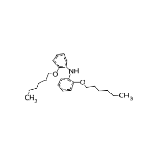 CCCCCCOc1ccccc1Nc1ccccc1OCCCCCC